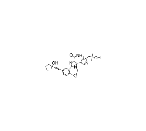 CC(C)(O)Cn1cc(-c2c(C(N)=O)nc3n2CC2CC2c2ccc(C#CC4(O)CCCC4)cc2-3)cn1